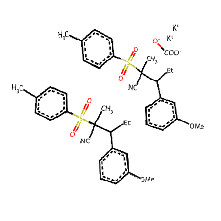 CCC(c1cccc(OC)c1)C(C)(C#N)S(=O)(=O)c1ccc(C)cc1.CCC(c1cccc(OC)c1)C(C)(C#N)S(=O)(=O)c1ccc(C)cc1.O=C([O-])[O-].[K+].[K+]